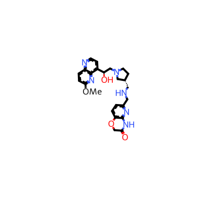 COc1ccc2nccc([C@H](O)CN3CC[C@H](CNCc4ccc5c(n4)NC(=O)CO5)C3)c2n1